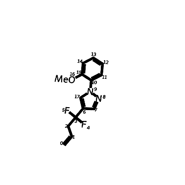 C=CCC(F)(F)c1cnn(-c2ccccc2OC)c1